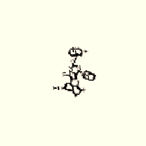 Oc1cc(-c2cc3c(N4CC5CCC(C4)N5)nc(OC[C@@]45CCCN4C[C@H](F)C5)nn3c2F)c2c(F)c(F)ccc2c1